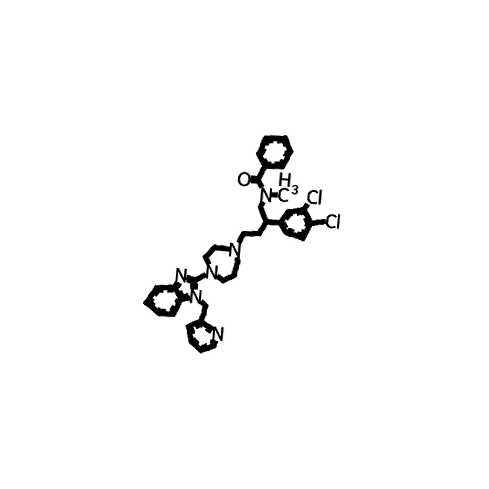 CN(CC(CCN1CCCN(c2nc3ccccc3n2Cc2ccccn2)CC1)c1ccc(Cl)c(Cl)c1)C(=O)c1ccccc1